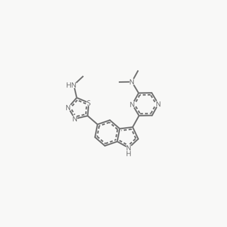 CNc1nnc(-c2ccc3[nH]cc(-c4cncc(N(C)C)n4)c3c2)s1